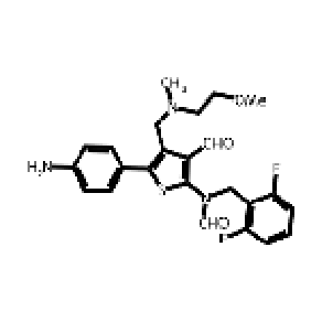 COCCN(C)Cc1c(-c2ccc(N)cc2)sc(N(C=O)Cc2c(F)cccc2F)c1C=O